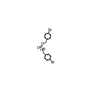 O=[PH](OCc1ccc(Br)cc1)OCc1ccc(Br)cc1